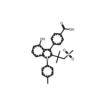 Cc1ccc(-n2c(C(C)(C)CS(C)(=O)=O)c(-c3ccc(C(=O)O)cc3)c3c(O)cccc32)cc1